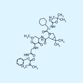 COCC(NC(=O)C1C2C(CN1C(=O)[C@@H](NC(=O)OC(C)(C)C)C1CCCCC1)C2(C)C)C(=O)C(=O)NCC(=O)N[C@H](C(=O)N(C)C)c1ccccc1